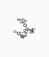 CCn1cc(C[C@H](NC(=O)CCc2cc(Cl)ccc2-n2cnnn2)c2nc(-c3ccc(NC(=O)OC)cc3)c[nH]2)cn1